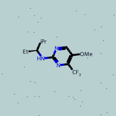 CC[C@H](Nc1ncc(OC)c(C(F)(F)F)n1)C(C)C